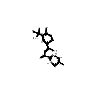 C=C(/C=C(\CC)c1ccc(C)c(C(C)(C)CC)c1)c1ncc(C)cn1